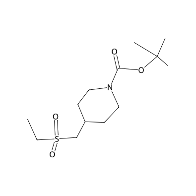 CCS(=O)(=O)CC1CCN(C(=O)OC(C)(C)C)CC1